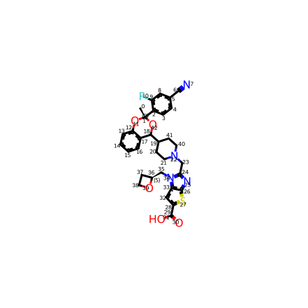 C[C@]1(c2ccc(C#N)cc2F)Oc2ccccc2C(C2CCN(Cc3nc4sc(C(=O)O)cc4n3C[C@@H]3CCO3)CC2)O1